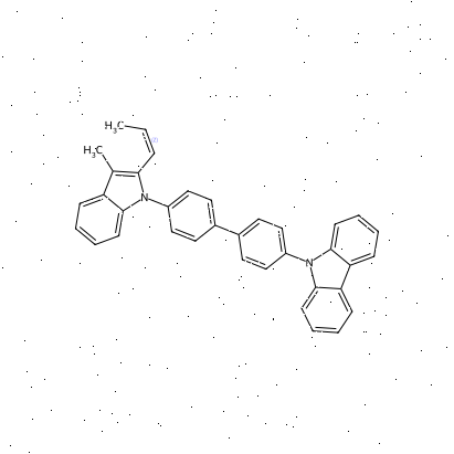 C/C=C\c1c(C)c2ccccc2n1-c1ccc(-c2ccc(-n3c4ccccc4c4ccccc43)cc2)cc1